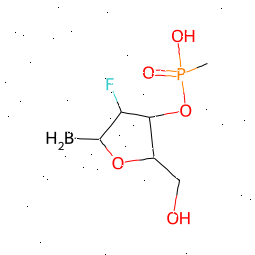 BC1OC(CO)C(OP(C)(=O)O)C1F